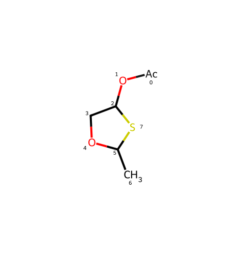 CC(=O)OC1COC(C)S1